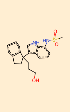 CS(=O)(=O)Nc1cccc2c(C3(CCCO)CCc4ccccc43)c[nH]c12